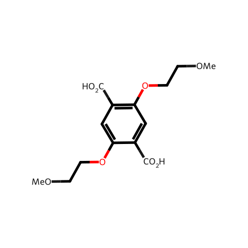 COCCOc1cc(C(=O)O)c(OCCOC)cc1C(=O)O